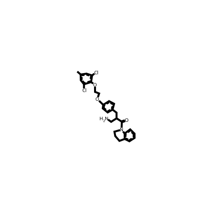 Cc1cc(Cl)c(OCCOc2ccc(CC(CN)C(=O)N3CCCc4ccccc43)cc2)c(Cl)c1